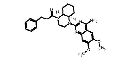 COc1cc2nc(N3CCN(C(=O)OCc4ccccc4)[C@H]4CCCC[C@H]43)nc(N)c2cc1OC